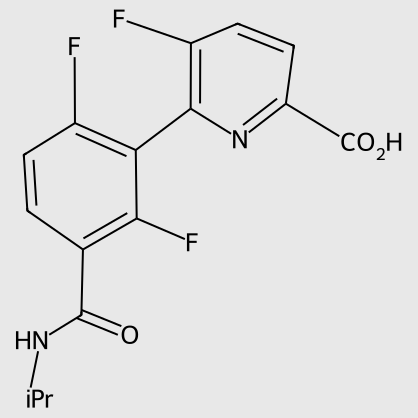 CC(C)NC(=O)c1ccc(F)c(-c2nc(C(=O)O)ccc2F)c1F